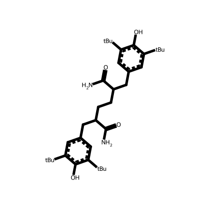 CC(C)(C)c1cc(CC(CCC(Cc2cc(C(C)(C)C)c(O)c(C(C)(C)C)c2)C(N)=O)C(N)=O)cc(C(C)(C)C)c1O